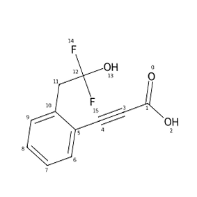 O=C(O)C#Cc1ccccc1CC(O)(F)F